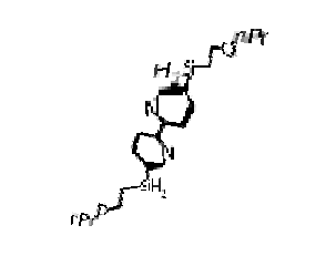 CCCOCC[SiH2]c1ccc(-c2ccc([SiH2]CCOCCC)cn2)nc1